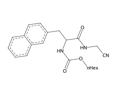 CCCCCCOC(=O)NC(Cc1ccc2ccccc2c1)C(=O)NCC#N